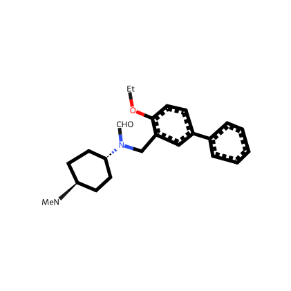 CCOc1ccc(-c2ccccc2)cc1CN(C=O)[C@H]1CC[C@H](NC)CC1